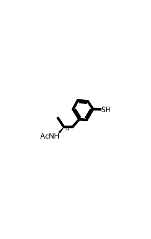 CC(=O)N[C@@H](C)Cc1cccc(S)c1